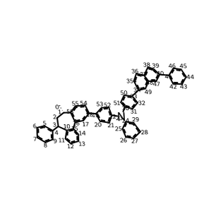 C[C@H]1CC(c2ccccc2)c2ccccc2-c2cc(-c3ccc(N(c4ccccc4)c4ccc(-c5ccc6ccc(-c7ccccc7)cc6c5)cc4)cc3)ccc21